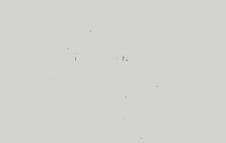 CCCC1(C)CSc2ccccc2C(c2ccccc2)N1